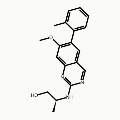 COc1cc2nc(N[C@@H](C)CO)ncc2cc1-c1ccccc1C